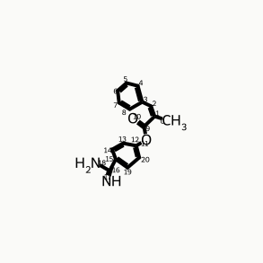 CC(=Cc1ccccc1)C(=O)Oc1ccc(C(=N)N)cc1